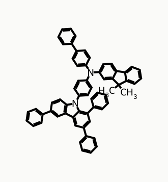 CC1(C)c2ccccc2-c2ccc(N(c3ccc(-c4ccccc4)cc3)c3ccc(-n4c5ccc(-c6ccccc6)cc5c5cc(-c6ccccc6)cc(-c6ccccc6)c54)cc3)cc21